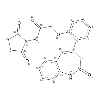 O=C1CC(c2ccccc2OCC(=O)ON2C(=O)CCC2=O)=Nc2ccccc2N1